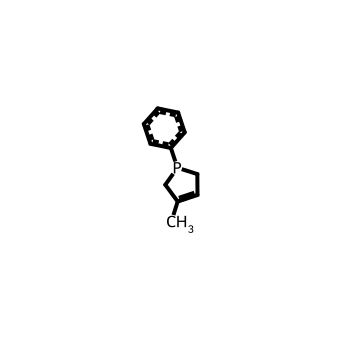 CC1=CCP(c2ccccc2)C1